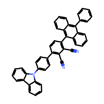 N#Cc1c(-c2ccc(-n3c4ccccc4c4ccccc43)cc2)ccc(-c2c3ccccc3c(-c3ccccc3)c3ccccc23)c1C#N